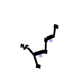 CC/C=N/N=C(\C)CC